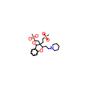 CS(=O)(=O)CCC1(CCS(C)(=O)=O)C(=O)c2ccccc2OC1CCN1CCCCC1